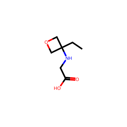 CCC1(NCC(=O)O)COC1